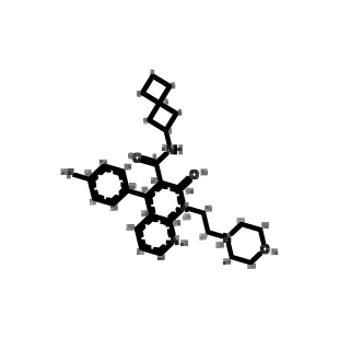 O=C(NC1CC2(CCC2)C1)c1c(-c2ccc(F)cc2)c2cccnc2n(CCN2CCOCC2)c1=O